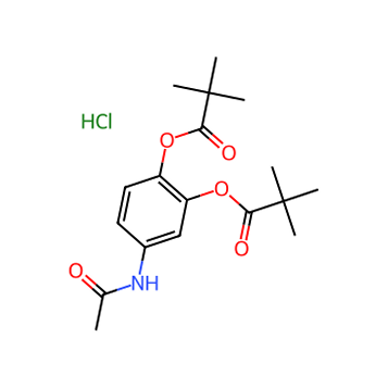 CC(=O)Nc1ccc(OC(=O)C(C)(C)C)c(OC(=O)C(C)(C)C)c1.Cl